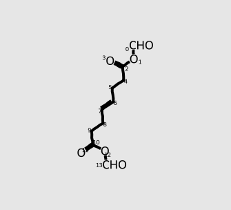 O=COC(=O)CCC=CCCC(=O)OC=O